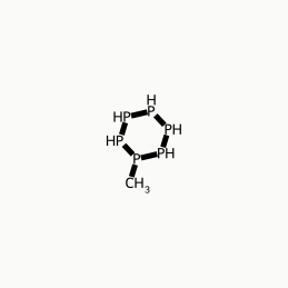 CP1PPPPP1